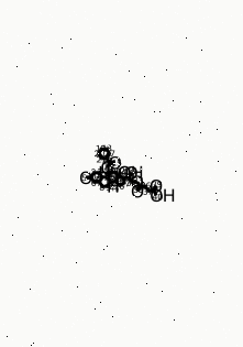 C[C@]12CCC(=O)C=C1CC[C@@H]1[C@@H]2[C@H](OC(=O)c2ccccc2)C[C@@]2(C)[C@H]1CC[C@]2(O)C(=O)COC(=O)CCC(=O)O